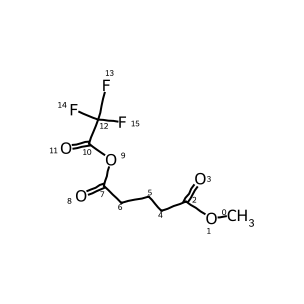 COC(=O)CCCC(=O)OC(=O)C(F)(F)F